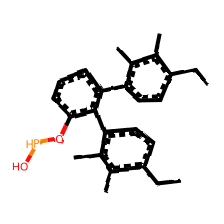 CCc1ccc(-c2cccc(OPO)c2-c2ccc(CC)c(C)c2C)c(C)c1C